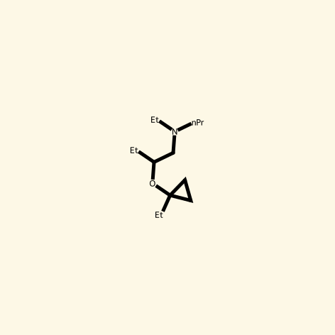 CCCN(CC)CC(CC)OC1(CC)CC1